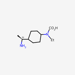 CCN(C(=O)O)C1CCC([C@H](C)N)CC1